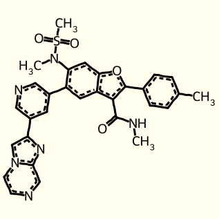 CNC(=O)c1c(-c2ccc(C)cc2)oc2cc(N(C)S(C)(=O)=O)c(-c3cncc(-c4cn5ccncc5n4)c3)cc12